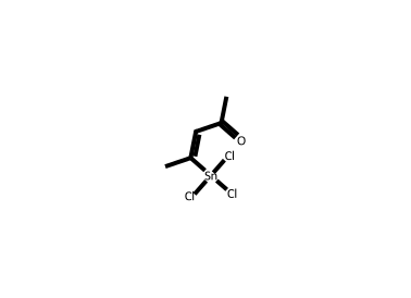 CC(=O)C=[C](C)[Sn]([Cl])([Cl])[Cl]